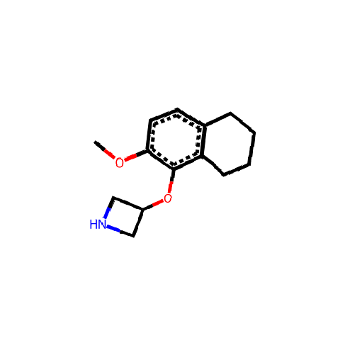 COc1ccc2c(c1OC1CNC1)CCCC2